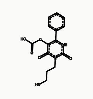 O=C(O)Oc1c(-c2ccccc2)[nH]c(=O)n(CCCS)c1=O